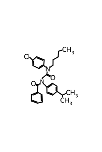 CCCCCN(C(=O)CN(C(=O)c1ccccc1)c1ccc(C(C)C)cc1)c1ccc(Cl)cc1